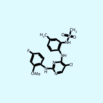 COc1cc(F)ccc1Nc1ncc(Cl)c(Nc2ccc(C)cc2NS(C)(=O)=O)n1